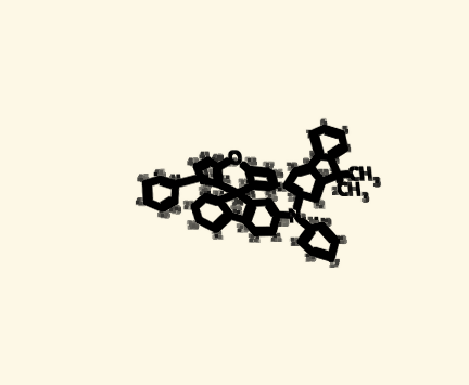 CC1(C)c2ccccc2-c2ccc(N(c3ccccc3)c3ccc4c(c3)C3(C5=CCCC=C54)c4ccccc4Oc4ccc(-c5ccccc5)cc43)cc21